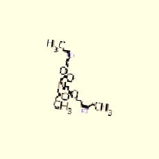 CC/C=C\CCOC(=O)CN(CCCC)CC(=O)OCC/C=C\CC